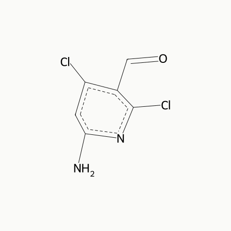 Nc1cc(Cl)c(C=O)c(Cl)n1